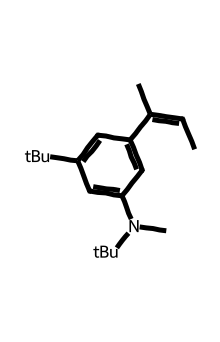 C/C=C(/C)c1cc(N(C)C(C)(C)C)cc(C(C)(C)C)c1